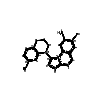 Nc1cc2c(cnc3nnc(N4CCCc5ccc(Br)cc54)n32)cc1F